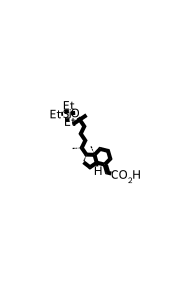 CC[Si](CC)(CC)OC(C)(C)CCC[C@@H](C)[C@H]1CC[C@H]2/C(=C/C(=O)O)CCC[C@]12C